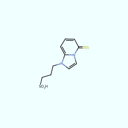 O=S(=O)(O)CCCn1ccn2c(=S)cccc12